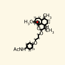 CC(=O)Nc1ccc(OCCCO[C@H]2O[C@@H]3O[C@@]4(C)CCC5[C@H](C)CC[C@@H]([C@H]2C)[C@]53OO4)cc1